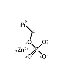 CC(C)COP(=O)([O-])[O-].[Zn+2]